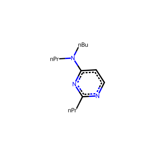 CCCCN(CCC)c1ccnc(CCC)n1